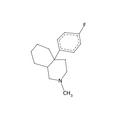 CN1CCC2(c3ccc(F)cc3)CCCCC2C1